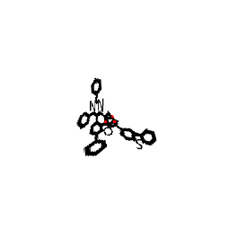 c1ccc(-c2nc(-c3ccccc3)c(-c3ccc(-c4ccccc4)c4oc5c(-c6ccc7sc8ccccc8c7c6)cccc5c34)c(-c3ccccc3)n2)cc1